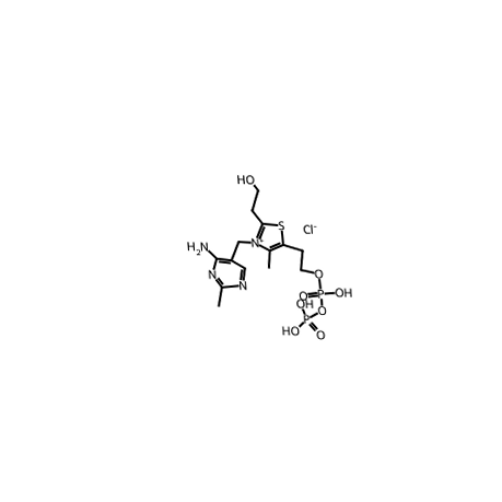 Cc1ncc(C[n+]2c(CCO)sc(CCOP(=O)(O)OP(=O)(O)O)c2C)c(N)n1.[Cl-]